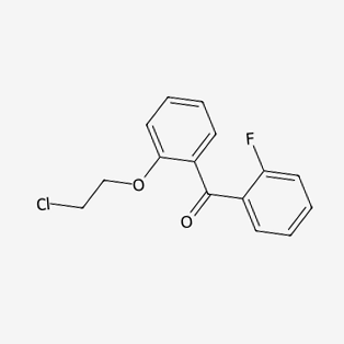 O=C(c1ccccc1F)c1ccccc1OCCCl